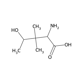 CC(O)C(C)(C)C(N)C(=O)O